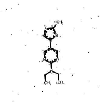 CCN(CC)c1ncc(-c2csc(C)n2)cn1